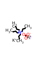 CCCC[N+](CCCC)(CCCC)CCCC.O=C([O-])[O-].[I-].[K+].[K+]